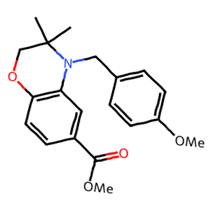 COC(=O)c1ccc2c(c1)N(Cc1ccc(OC)cc1)C(C)(C)CO2